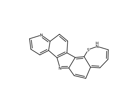 C1=CNSc2c3c(ccc2=C1)=Nc1c-3ccc2ncccc12